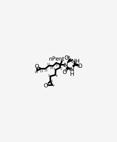 CCCCCC(CCCCC1CO1)(CCCCC1CO1)n1c(=O)[nH]c(=O)[nH]c1=O